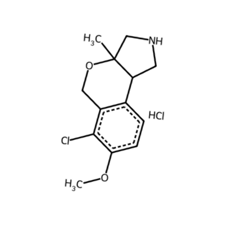 COc1ccc2c(c1Cl)COC1(C)CNCC21.Cl